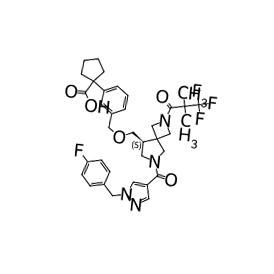 CC(C)(C(=O)N1CC2(CN(C(=O)c3cnn(Cc4ccc(F)cc4)c3)C[C@H]2COCc2cccc(C3(C(=O)O)CCCC3)c2)C1)C(F)(F)F